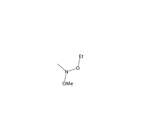 CCON(C)OC